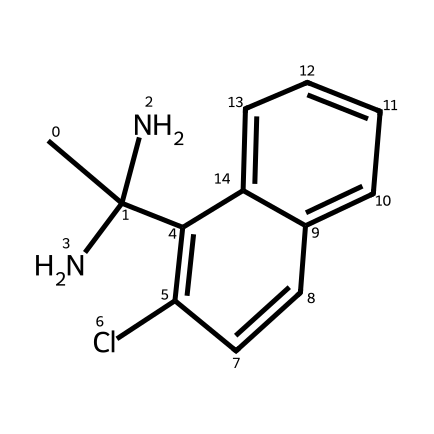 CC(N)(N)c1c(Cl)ccc2ccccc12